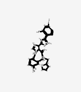 O=C1C2C(c3nc(-c4ccc(F)cc4F)no3)N=CN2c2ccc(Cl)cc2N1CC1CCCO1